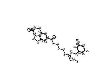 CN(CCCCCC(=O)c1cc2c3c(c1)CCN3C(=O)CC2)CCc1cccc(F)c1